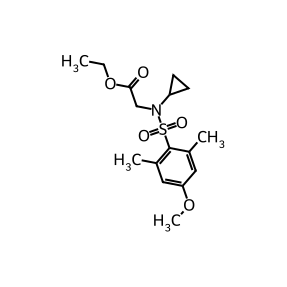 CCOC(=O)CN(C1CC1)S(=O)(=O)c1c(C)cc(OC)cc1C